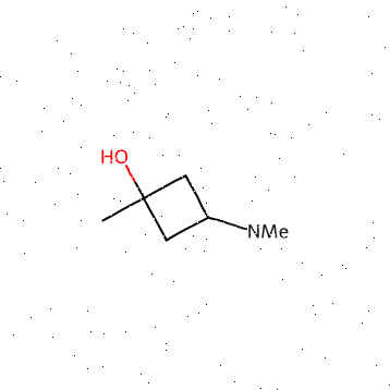 CNC1CC(C)(O)C1